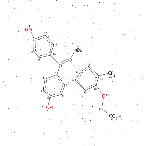 CCCCC(=C(c1ccc(O)cc1)c1ccc(O)cc1)c1ccc(OCC(=O)O)c(C(F)(F)F)c1